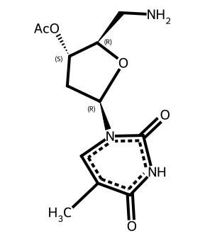 CC(=O)O[C@H]1C[C@H](n2cc(C)c(=O)[nH]c2=O)O[C@@H]1CN